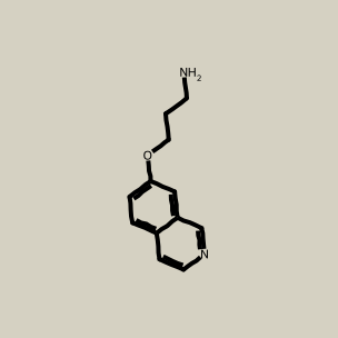 NCCCOc1ccc2ccncc2c1